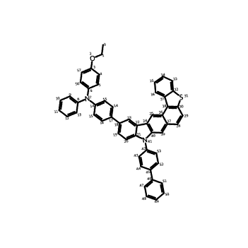 CCOc1ccc(N(c2ccccc2)c2ccc(-c3ccc4c(c3)c3cc5c(ccc6sc7ccccc7c65)cc3n4-c3ccc(-c4ccccc4)cc3)cc2)cc1